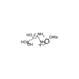 COc1ccc(CC2(NCCC(N)(CCCCB(O)O)C(=O)O)CC2)cc1